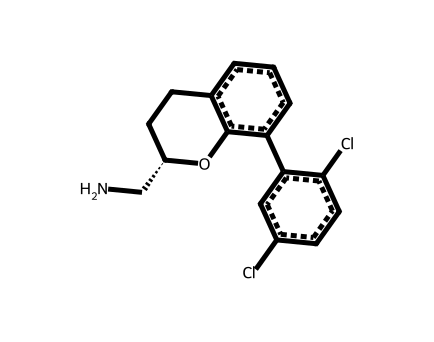 NC[C@@H]1CCc2cccc(-c3cc(Cl)ccc3Cl)c2O1